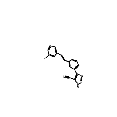 N#Cc1[nH]nnc1-c1cccc(/C=C/c2cccc(Cl)c2)c1